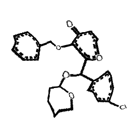 O=c1ccoc(C(OC2CCCCO2)c2ccc(Cl)cc2)c1OCc1ccccc1